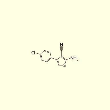 N#Cc1c(-c2ccc(Cl)cc2)csc1N